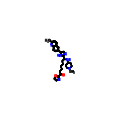 Cc1ccc2cc(-c3cnc(C(CCCCCC(=O)c4ncco4)NC4CCN(C)CC4)[nH]3)ccc2n1